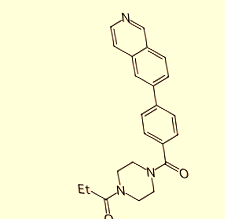 CCC(=O)N1CCN(C(=O)c2ccc(-c3ccc4cnccc4c3)cc2)CC1